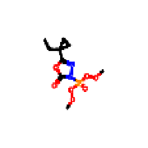 CCC1(c2nn(P(=O)(OOC)OOC)c(=O)o2)CC1